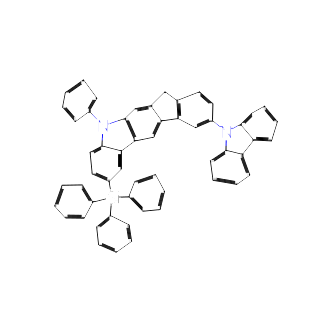 c1ccc(-n2c3ccc([Si](c4ccccc4)(c4ccccc4)c4ccccc4)cc3c3cc4c(cc32)Cc2ccc(-n3c5ccccc5c5ccccc53)cc2-4)cc1